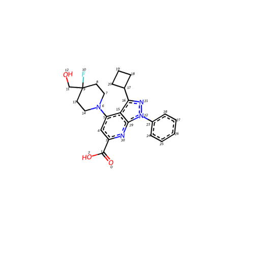 O=C(O)c1cc(N2CCC(F)(CO)CC2)c2c(C3CCC3)nn(-c3ccccc3)c2n1